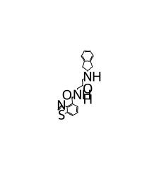 O=C(NC[C@@H](O)CNC1Cc2ccccc2C1)c1cccc2scnc12